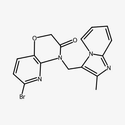 Cc1nc2ccccn2c1CN1C(=O)COc2ccc(Br)nc21